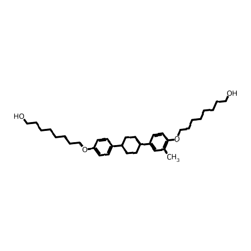 Cc1cc(C2CCC(c3ccc(OCCCCCCCCO)cc3)CC2)ccc1OCCCCCCCCO